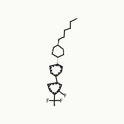 CCCCCC[C@H]1CC[C@H](c2ccc(-c3ccc(C(C)(F)F)c(F)c3)cc2)CC1